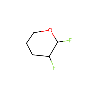 FC1CCCOC1F